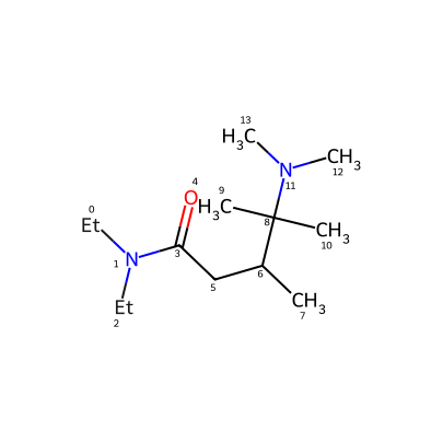 CCN(CC)C(=O)CC(C)C(C)(C)N(C)C